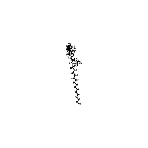 CCCCCCCCCCCCCCCCOCC(COP(=O)([O-])OC1(C)c2ccc[n+]1c2)OC(C)=O